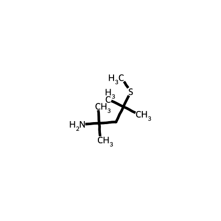 CSC(C)(C)CC(C)(C)N